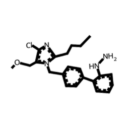 CCCCc1nc(Cl)c(COC)n1Cc1ccc(-c2ccccc2NN)cc1